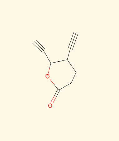 C#CC1CCC(=O)OC1C#C